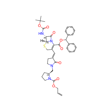 C=CCOC(=O)N1CCC[C@H]1CN1CCC(=CC2=C(C(=O)OC(c3ccccc3)c3ccccc3)N3C(=O)[C@@H](NC(=O)OC(C)(C)C)[C@H]3SC2)C1=O